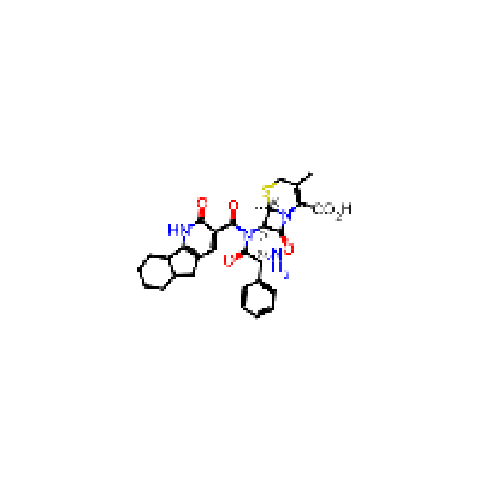 CC1=C(C(=O)O)N2C(=O)[C@@H](N(C(=O)c3cc4c([nH]c3=O)C3CCCCC3C4)C(=O)[C@H](N)c3ccccc3)[C@H]2SC1